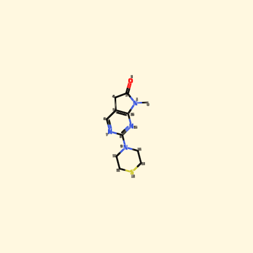 CN1C(=O)Cc2cnc(N3CCSCC3)nc21